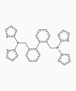 c1csc(P(Cc2ccccc2-c2ccccc2CP(c2cccs2)c2cccs2)c2cccs2)c1